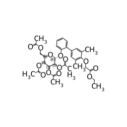 CCOC(=O)COc1c(C)cc(-c2ccccc2O[C@H]2O[C@H](COC(C)=O)[C@@H](OC(C)=O)[C@H](OC(C)=O)[C@@H]2OC(C)=O)cc1C